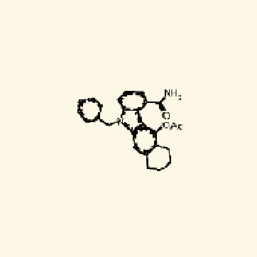 CC(=O)Oc1c2c(cc3c1c1c(C(N)=O)cccc1n3Cc1ccccc1)CCCC2